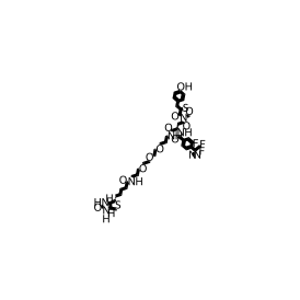 O=C(CCCC[C@@H]1SC[C@@H]2NC(=O)N[C@@H]21)NCCCOCCOCCOCCCNC(=O)[C@@H](CC(=O)N1COSC(Cc2ccc(O)cc2)C1=O)NC(=O)c1ccc(C2(C(F)(F)F)N=N2)cc1